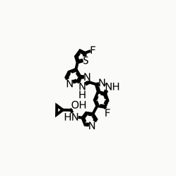 OC(Nc1cncc(-c2cc3c(-c4nc5c(-c6ccc(F)s6)ccnc5[nH]4)n[nH]c3cc2F)c1)C1CC1